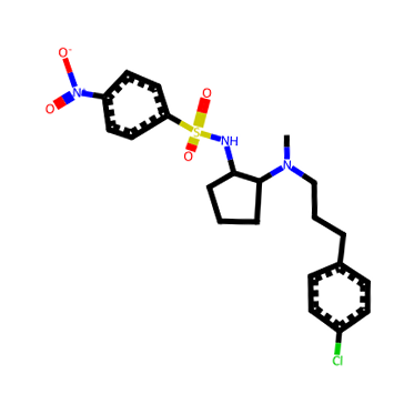 CN(CCCc1ccc(Cl)cc1)C1CCCC1NS(=O)(=O)c1ccc([N+](=O)[O-])cc1